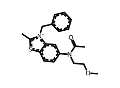 COCCN(C(C)=O)c1ccc2sc(C)[n+](Cc3ccccc3)c2c1